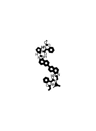 CCC(=O)N[C@@H](C(=O)N(Cc1nc2ccc3cc(-c4ccc5c(ccc6nc([C@@H]7[C@H]8CC[C@H](C8)N7C(=O)[C@H](NC(=O)OC)c7ccccc7)[nH]c65)c4)ccc3c2[nH]1)C1C(C)[C@H]1C)c1ccccc1